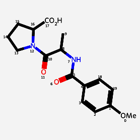 COc1ccc(C(=O)NC(C)C(=O)N2CCCC2C(=O)O)cc1